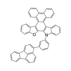 c1cc(-c2ccc3c4c(cccc24)-c2ccccc2-3)cc(-n2c3ccccc3c3c4c5ccccc5c5ccccc5c4c4c5ccccc5oc4c32)c1